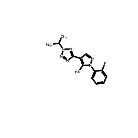 CC(C)n1nnc(-c2cnn(-c3ccccc3F)c2S)n1